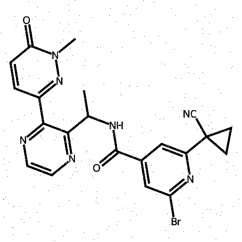 CC(NC(=O)c1cc(Br)nc(C2(C#N)CC2)c1)c1nccnc1-c1ccc(=O)n(C)n1